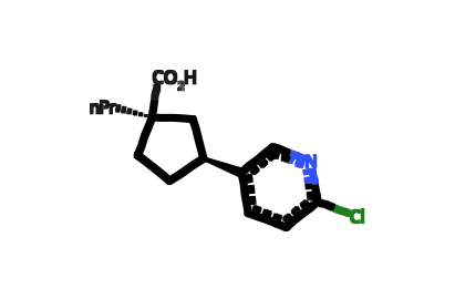 CCC[C@@]1(C(=O)O)CC[C@H](c2ccc(Cl)nc2)C1